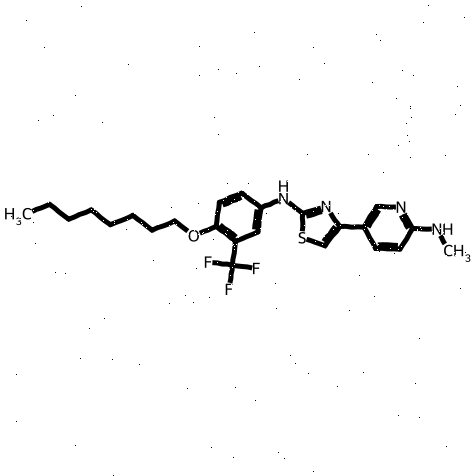 CCCCCCCCOc1ccc(Nc2nc(-c3ccc(NC)nc3)cs2)cc1C(F)(F)F